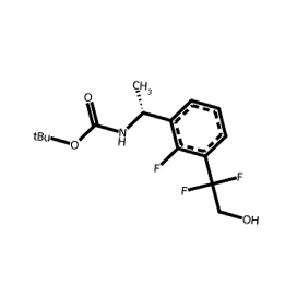 C[C@@H](NC(=O)OC(C)(C)C)c1cccc(C(F)(F)CO)c1F